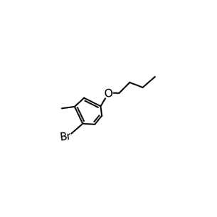 CCCCOc1ccc(Br)c(C)c1